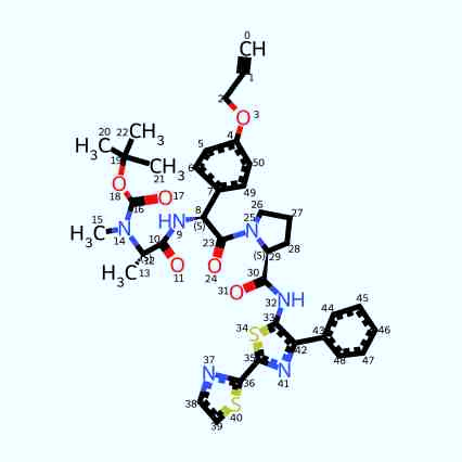 C#CCOc1ccc([C@H](NC(=O)[C@H](C)N(C)C(=O)OC(C)(C)C)C(=O)N2CCC[C@H]2C(=O)Nc2sc(-c3nccs3)nc2-c2ccccc2)cc1